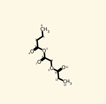 CCCC(=O)OC(=O)COC(=O)CC